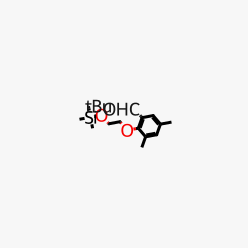 Cc1cc(C)c(OCCO[Si](C)(C)C(C)(C)C)c(C=O)c1